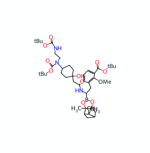 COc1c(CC(NC(=O)CC2(O)CCC(N(CCNC(=O)OC(C)(C)C)C(=O)OC(C)(C)C)CC2)B2OC3CC4CC(C4(C)C)C3(C)O2)cccc1C(=O)OC(C)(C)C